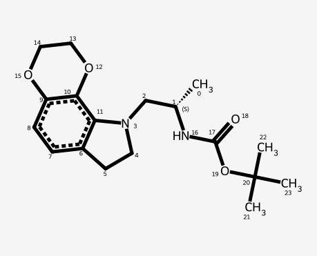 C[C@@H](CN1CCc2ccc3c(c21)OCCO3)NC(=O)OC(C)(C)C